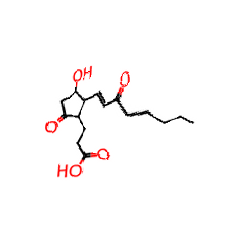 CCCCCC(=O)C=CC1C(O)CC(=O)C1CCC(=O)O